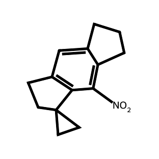 O=[N+]([O-])c1c2c(cc3c1C1(CC3)CC1)CCC2